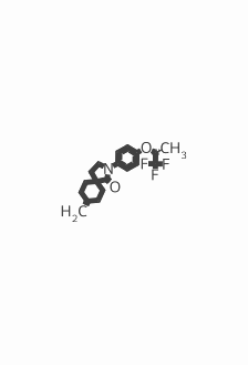 C=C1CCC2(CC1)CCN(c1ccc(O[C@H](C)C(F)(F)F)cc1)C2=O